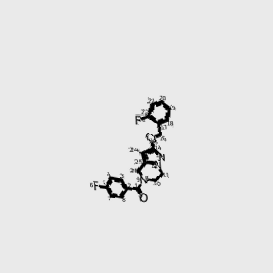 O=C(c1ccc(F)cc1)N1CCn2nc(OCc3ccccc3F)cc2C1